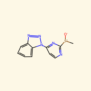 C[S+]([O-])c1nccc(-n2nnc3ccccc32)n1